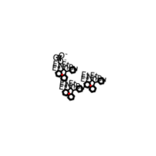 CCCCC(c1ccccc1)(C(c1ccccc1)c1ccccc1)[N+](CC)(CC)CC.CCCCC(c1ccccc1)(C(c1ccccc1)c1ccccc1)[N+](CC)(CC)CC.CCCCC(c1ccccc1)(C(c1ccccc1)c1ccccc1)[N+](CC)(CC)CC.[O-]B([O-])[O-]